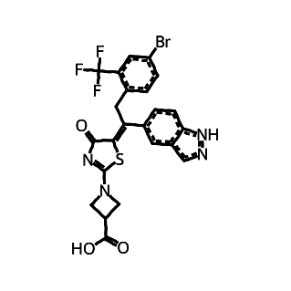 O=C1N=C(N2CC(C(=O)O)C2)SC1=C(Cc1ccc(Br)cc1C(F)(F)F)c1ccc2[nH]ncc2c1